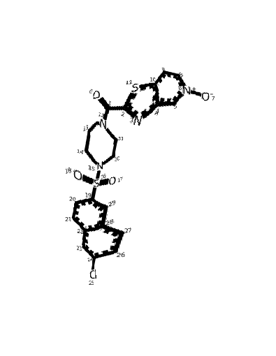 O=C(c1nc2c[n+]([O-])ccc2s1)N1CCN(S(=O)(=O)c2ccc3cc(Cl)ccc3c2)CC1